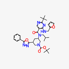 CC(C)CN(C(=O)c1cnc(C(C)(C)C)nc1NCc1ccco1)C1CC(c2nnc(-c3ccccc3)o2)CN(C(=O)OC(C)(C)C)C1